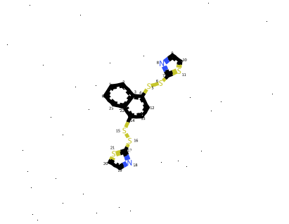 c1ccc2c(SSc3nccs3)ccc(SSc3nccs3)c2c1